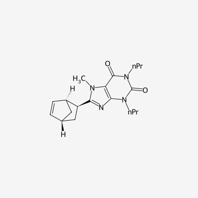 CCCn1c(=O)c2c(nc([C@H]3C[C@@H]4C=C[C@@H]3C4)n2C)n(CCC)c1=O